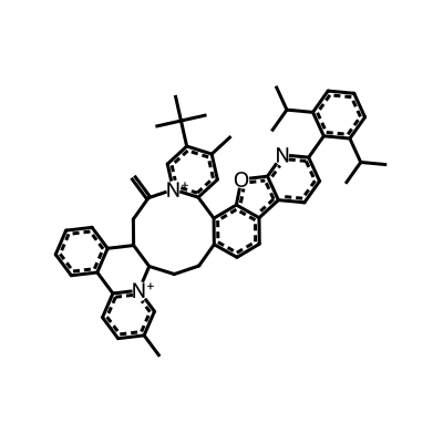 C=C1CC2c3ccccc3-c3ccc(C)c[n+]3C2CCc2ccc3c(oc4nc(-c5c(C(C)C)cccc5C(C)C)ccc43)c2-c2cc(C)c(C(C)(C)C)c[n+]21